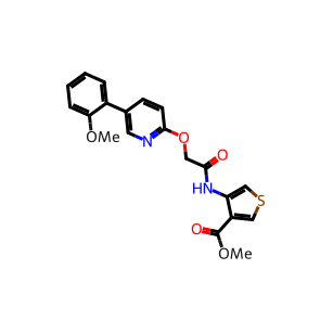 COC(=O)c1cscc1NC(=O)COc1ccc(-c2ccccc2OC)cn1